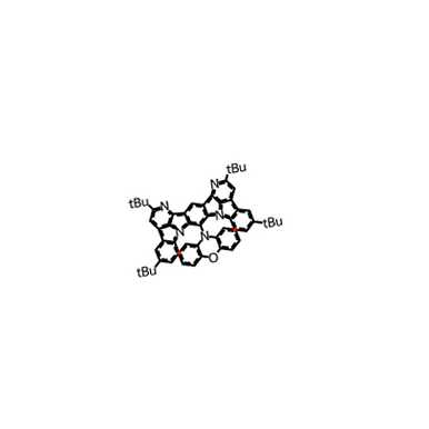 CC(C)(C)c1ccc2c(c1)c1cc(C(C)(C)C)nc3c4cc5c6nc(C(C)(C)C)cc7c8cc(C(C)(C)C)ccc8n(c5c(N5c8ccccc8Oc8ccccc85)c4n2c13)c76